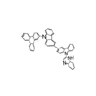 C1=CC2=NC=C(n3c4ccccc4c4cc(-c5ccc6c(c5)c5ccccc5n6-c5ccc6c7ccccc7c7ccccc7c6c5)ccc43)NC2C=C1